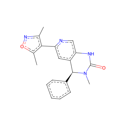 Cc1noc(C)c1-c1cc2c(cn1)NC(=O)N(C)[C@H]2c1ccccc1